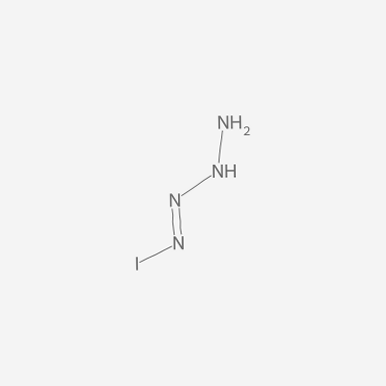 NNN=NI